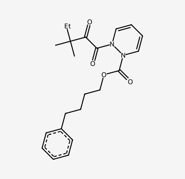 CCC(C)(C)C(=O)C(=O)N1C=CC=CN1C(=O)OCCCCc1ccccc1